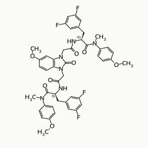 COc1ccc(N(C)C(=O)[C@H](Cc2cc(F)cc(F)c2)NC(=O)Cn2c(=O)n(CC(=O)N[C@@H](Cc3cc(F)cc(F)c3)C(=O)N(C)c3ccc(OC)cc3)c3cc(OC)ccc32)cc1